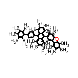 Bc1c(B)c(B)c(-c2ccc(-c3c4c(B)c(B)c(B)c(B)c4c(-c4c(B)c(B)c5oc6c(B)c(B)c(B)c(B)c6c5c4B)c4c(B)c(B)c(B)c(B)c34)cc2)c(B)c1B